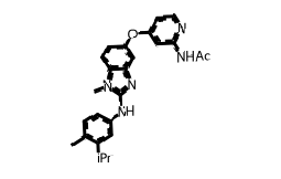 CC(=O)Nc1cc(Oc2ccc3c(c2)nc(Nc2ccc(C)c(C(C)C)c2)n3C)ccn1